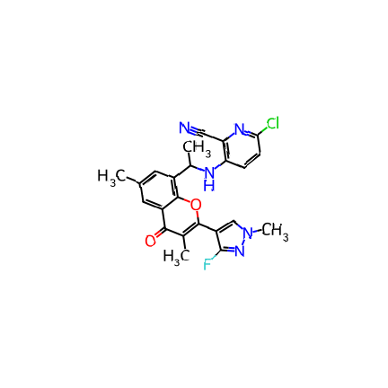 Cc1cc(C(C)Nc2ccc(Cl)nc2C#N)c2oc(-c3cn(C)nc3F)c(C)c(=O)c2c1